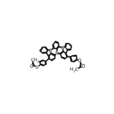 CC1OC1Oc1ccc(-c2ccc3c4c2-c2ccccc2B4c2cccc4c2N3c2ccc(-c3ccc(OC5OC5C)cc3)c3c2B4c2ccccc2-3)cc1